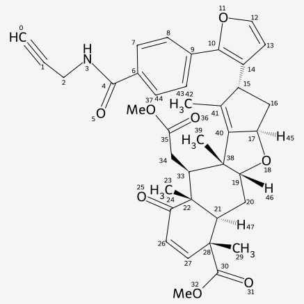 C#CCNC(=O)c1ccc(-c2occc2[C@@H]2C[C@H]3O[C@@H]4C[C@@H]5[C@](C)(C(=O)C=C[C@@]5(C)C(=O)OC)[C@@H](CC(=O)OC)[C@]4(C)C3=C2C)cc1